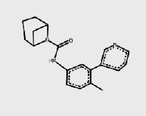 Cc1ccc(NC(=O)N2C3CCCC2C3)cc1-c1cccnc1